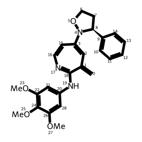 C=C1C=C(N2OCC[C@H]2c2ccccc2)C=CN=C1Nc1cc(OC)c(OC)c(OC)c1